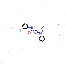 CCCN(c1ccccc1)C1CN(C(=O)Nc2cccc(F)c2)C1